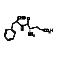 N[C@@H](CCC(=O)O)C(=O)N[C@H]([C]=O)Cc1ccccc1